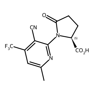 Cc1cc(C(F)(F)F)c(C#N)c(N2C(=O)CC[C@H]2C(=O)O)n1